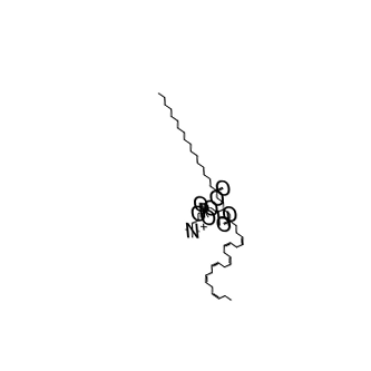 CC/C=C\C/C=C\C/C=C\C/C=C\C/C=C\C/C=C\CCC(=O)O[C@H](COC(=O)CCCCCCCCCCCCCCCCC)COP(=O)(O)OCC[N+](C)(C)C